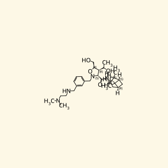 CC(O)[C@@H]1[C@H](CO)ON(Cc2cccc(CNCCN(C)C)c2)[C@@H]1C(=O)N[C@H]1C[C@H]2C[C@@H]([C@@H]1C)C2(C)C